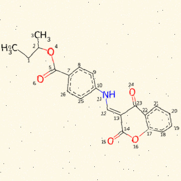 CCC(C)OC(=O)c1ccc(NC=C2C(=O)Oc3ccccc3C2=O)cc1